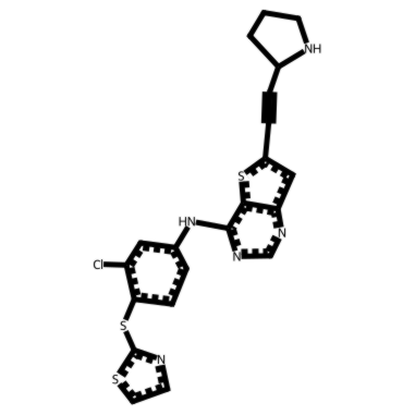 Clc1cc(Nc2ncnc3cc(C#CC4CCCN4)sc23)ccc1Sc1nccs1